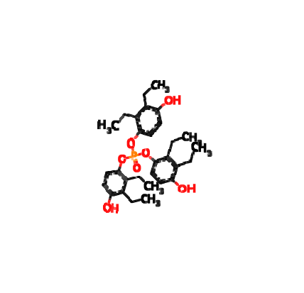 CCc1c(O)ccc(OP(=O)(Oc2ccc(O)c(CC)c2CC)Oc2ccc(O)c(CC)c2CC)c1CC